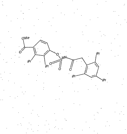 COC(=O)c1ccc(OS(=O)(=O)NC(=O)Cc2c(C(C)C)cc(C(C)C)cc2C(C)C)c(C(C)C)c1C(C)C